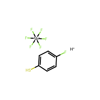 Fc1ccc(S)cc1.[F][Sb-]([F])([F])([F])([F])[F].[H+]